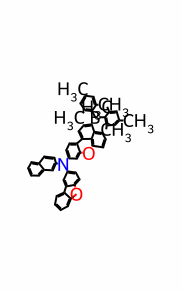 Cc1cc(C)c(B(c2c(C)cc(C)cc2C)c2ccc3c4c(cccc24)Oc2cc(N(c4ccc5ccccc5c4)c4ccc5oc6ccccc6c5c4)ccc2-3)c(C)c1